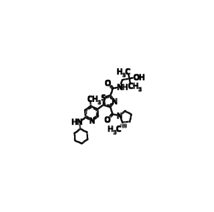 Cc1cc(NC2CCCCC2)ncc1-c1sc(C(=O)NCC(C)(C)O)nc1C(=O)N1CCC[C@@H]1C